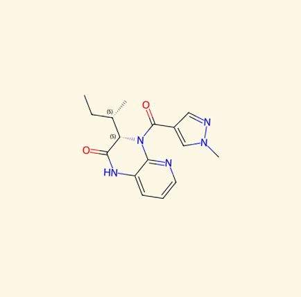 CC[C@H](C)[C@H]1C(=O)Nc2cccnc2N1C(=O)c1cnn(C)c1